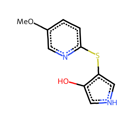 COc1ccc(Sc2c[nH]cc2O)nc1